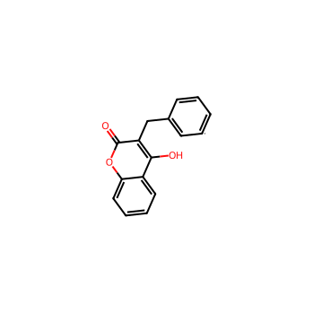 O=c1oc2ccccc2c(O)c1Cc1c[c]ccc1